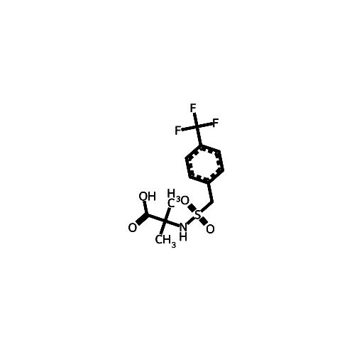 CC(C)(NS(=O)(=O)Cc1ccc(C(F)(F)F)cc1)C(=O)O